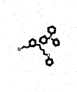 BrCCc1cccc(CCCCOc2ccccc2)c1.c1ccc(P(c2ccccc2)c2ccccc2)cc1